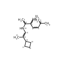 C=C(C)/C=C\C(=C/C)C(=C)N/C=C(\C)C1CCC1